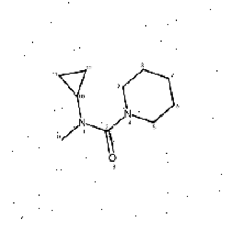 CN(C(=O)N1CCCCC1)C1CC1